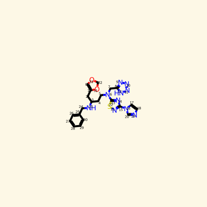 C1=C(CC(CCN(Cc2nnn[nH]2)c2nc(-n3ccnc3)ns2)NCc2ccccc2)OCO1